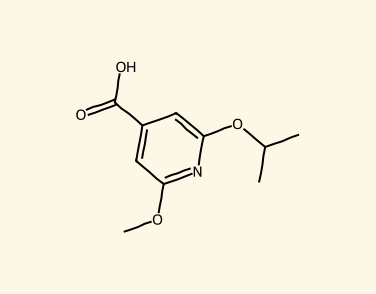 COc1cc(C(=O)O)cc(OC(C)C)n1